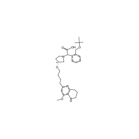 COc1cc(CCCCO[C@@H]2CCN(C(C(=O)O)c3ccccc3COC(C)(C)C)C2)nc2c1NCCC2